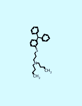 C=CCCN(CCC=C)CCCSc1cccc(C(c2ccccc2)c2ccccc2)c1